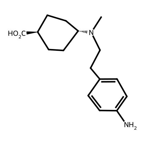 CN(CCc1ccc(N)cc1)[C@H]1CC[C@H](C(=O)O)CC1